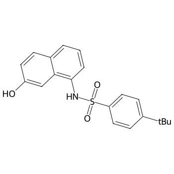 CC(C)(C)c1ccc(S(=O)(=O)Nc2cccc3ccc(O)cc23)cc1